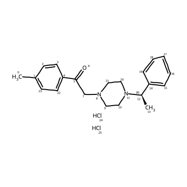 Cc1ccc(C(=O)CN2CCN([C@H](C)c3ccccc3)CC2)cc1.Cl.Cl